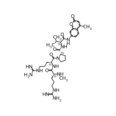 CN[C@@H](CCCNC(=N)N)C(=O)N[C@@H](CCCNC(=N)N)C(=O)N1CCC[C@H]1C(=O)N[C@H](C(=O)Nc1ccc2c(C)cc(=O)oc2c1)C(C)C